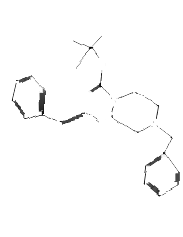 CC(C)(C)OC(=O)N1CCN(Cc2ccccc2)C[C@@H]1CC=Cc1ccccc1